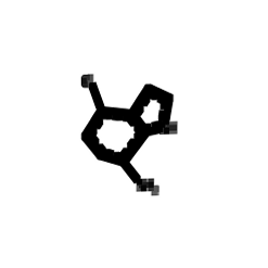 Nc1ccc(Cl)c2cc[nH]c12